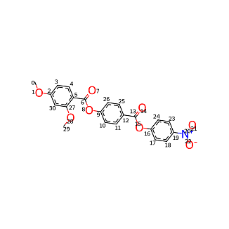 COc1ccc(C(=O)Oc2ccc(C(=O)Oc3ccc([N+](=O)[O-])cc3)cc2)c(OC)c1